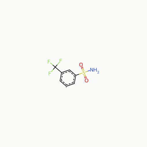 NS(=O)(=O)c1c[c]cc(C(F)(F)F)c1